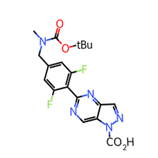 CN(Cc1cc(F)c(-c2ncc3c(cnn3C(=O)O)n2)c(F)c1)C(=O)OC(C)(C)C